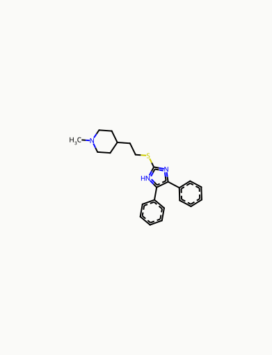 CN1CCC(CCSc2nc(-c3ccccc3)c(-c3ccccc3)[nH]2)CC1